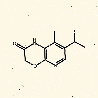 Cc1c(C(C)C)cnc2c1NC(=O)CO2